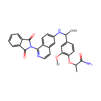 CCOc1cc(C([C]=O)Nc2ccc3c(N4C(=O)c5ccccc5C4=O)nccc3c2)ccc1OC(C)C(N)=O